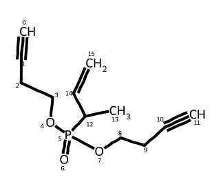 C#CCCOP(=O)(OCCC#C)C(C)C=C